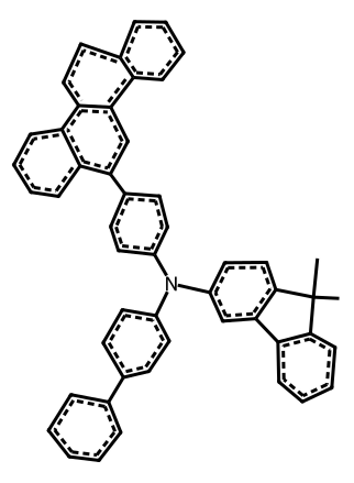 CC1(C)c2ccccc2-c2cc(N(c3ccc(-c4ccccc4)cc3)c3ccc(-c4cc5c6ccccc6ccc5c5ccccc45)cc3)ccc21